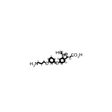 NCCCOc1cccc(Oc2ccc3c(c2)B(O)O[C@@H]3CC(=O)O)c1